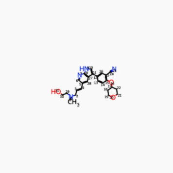 CN(C/C=C/c1cnc2[nH]cc(-c3ccc(OC4CCOCC4)c(C#N)c3)c2c1)CCO